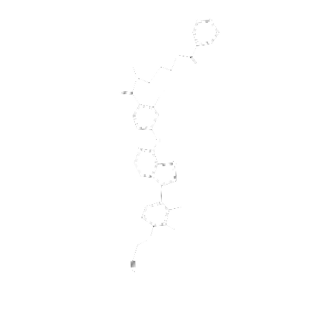 CN(CCCOC(=O)c1ccncc1)C(=O)c1ccc(Nc2nccn3c(-c4ccc(OCC#N)c(F)c4F)cnc23)cc1Cl